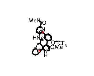 CNC(=O)c1ccc(NC(=O)C(C[C@H]2CCCCO2)c2c(-c3cc(Cl)ccc3OCC(F)(F)F)c(OC)c[nH]c2=O)cn1